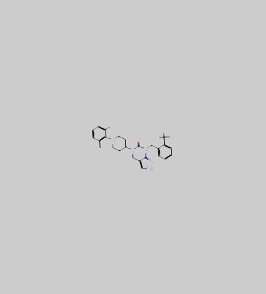 Cc1cccc(F)c1N1CCC(N2C(=O)N(Cc3ccccc3C(F)(F)F)c3n[nH]cc3[C@@H]2C)CC1